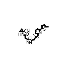 Cc1ccc(-c2ccc3nc(Cc4nnc(CC(=O)NC5(C#N)CC5)o4)sc3n2)s1